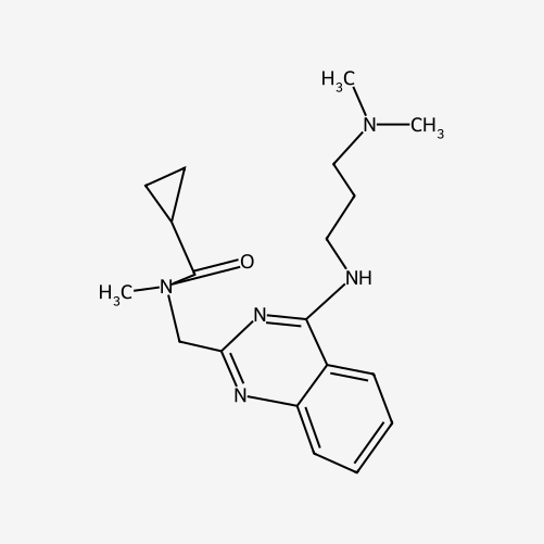 CN(C)CCCNc1nc(CN(C)C(=O)C2CC2)nc2ccccc12